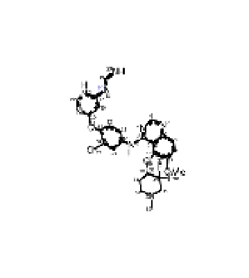 COc1ccc2ncnc(Nc3ccc(Oc4c/c(=N/C=N)[nH]cn4)c(Cl)c3)c2c1O[C@H]1CCN(C)CC1(F)F